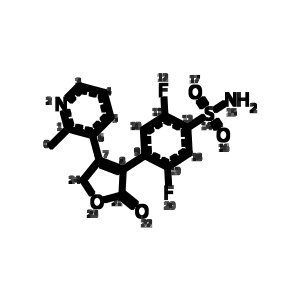 Cc1ncccc1C1=C(c2cc(F)c(S(N)(=O)=O)cc2F)C(=O)OC1